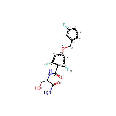 NC(=O)[C@H](CO)NC(=O)c1c(F)cc(OCc2cccc(F)c2)cc1F